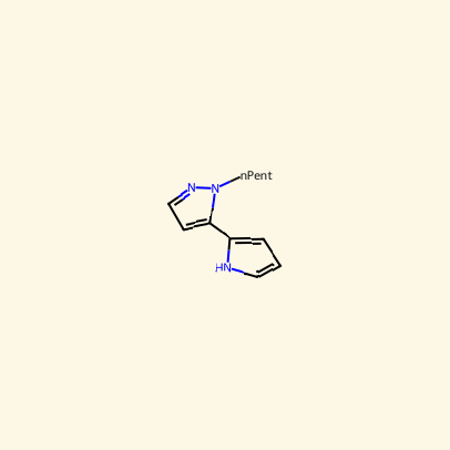 CCCCCn1nccc1-c1ccc[nH]1